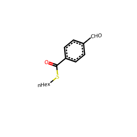 CCCCCCSC(=O)c1ccc(C=O)cc1